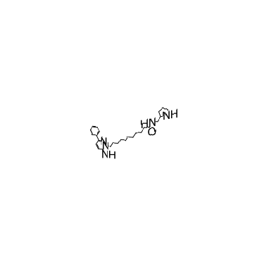 N=c1ccc(-c2ccccc2)nn1CCCCCCCCCCC(=O)NCC1CCCN1